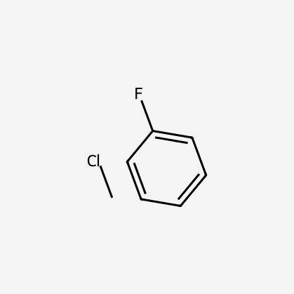 CCl.Fc1ccccc1